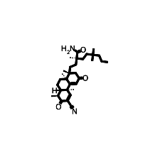 CCCC(C)(C)CC[C@@](C)(CC[C@]1(C)CC(=O)C=C2[C@@]3(C)C=C(C#N)C(=O)[C@@H](C)[C@@H]3CC[C@]21C)C(N)=O